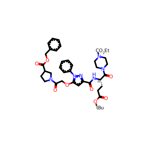 CCOC(=O)N1CCN(C(=O)[C@H](CCC(=O)OC(C)(C)C)NC(=O)c2cc(OCC(=O)N3CCC(C(=O)OCc4ccccc4)C3)n(-c3ccccc3)n2)CC1